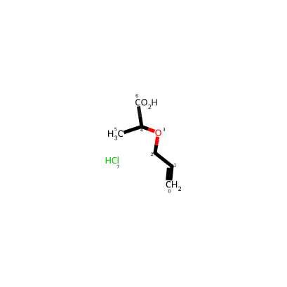 C=CCOC(C)C(=O)O.Cl